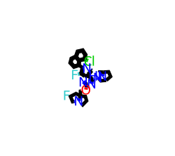 Fc1c(-c2cccc3cccc(Cl)c23)ncc2c(N3CC4CCC(C3)N4)nc(OCC34CCCN3C[C@H](F)C4)nc12